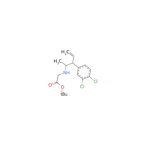 C=CC(c1ccc(Cl)c(Cl)c1)C(C)NCC(=O)OC(C)(C)C